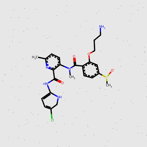 Cc1ccc(N(C)C(=O)c2ccc([S+](C)[O-])cc2OCCCN)c(C(=O)NC2=CC=C(Cl)CN2)n1